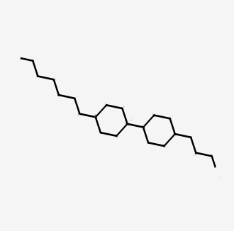 CCCCCCCC1CCC(C2CCC(CCCC)CC2)CC1